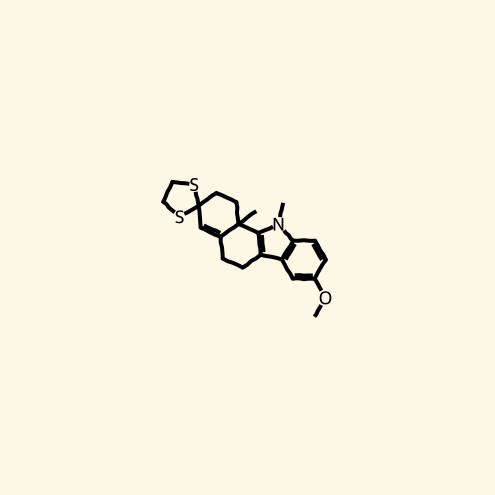 COc1ccc2c(c1)c1c(n2C)C2(C)CCC3(C=C2CC1)SCCS3